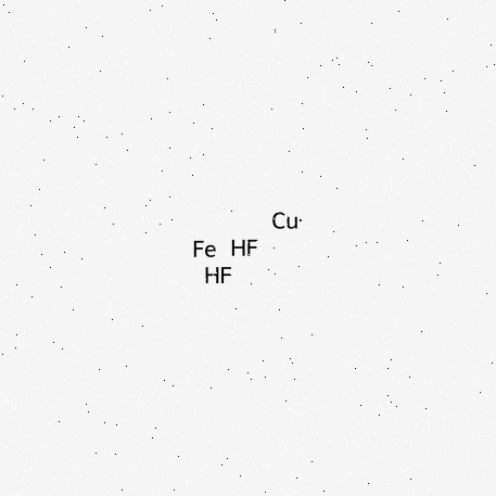 F.F.[Cu].[Fe]